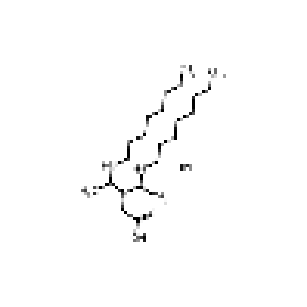 CCCCCCCCNC(C)N(CC(=O)O)C(C)NCCCCCCCC.Cl